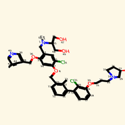 CCN(Cc1cc(Cl)c(OCc2cccc(-c3cccc(OCCCN4CC[C@@H](O)C4)c3Cl)c2C)cc1OCc1cncc(C#N)c1)C(CO)CO